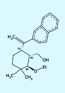 C=C(c1ccc2ccccc2c1)[C@H]1CCC(C)(C)[C@H](OCC)[C@H]1CO